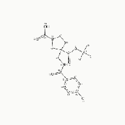 CC(C)(C)OC(=O)C1(CNC(=O)c2ccc(Cl)cc2)CCN(C(=O)O)C1